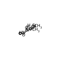 CN(C)CC(C)(C)c1ccc(N2CC(CNC(=O)c3ccccc3)CC2=O)cc1